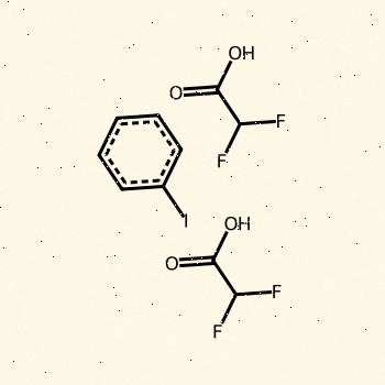 Ic1ccccc1.O=C(O)C(F)F.O=C(O)C(F)F